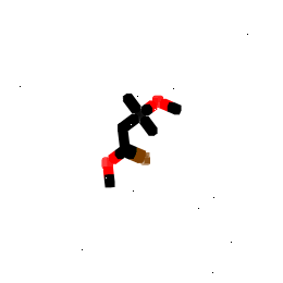 COC(=S)C[Si](C)(C)OC